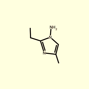 CCc1nc(C)cn1N